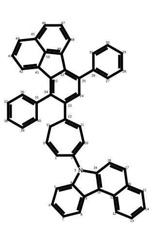 C1=CC(n2c3ccccc3c3c4ccccc4ccc32)=CC=C(c2cc(-c3ccccc3)c3c(c2-c2ccccc2)-c2cccc4cccc-3c24)C1